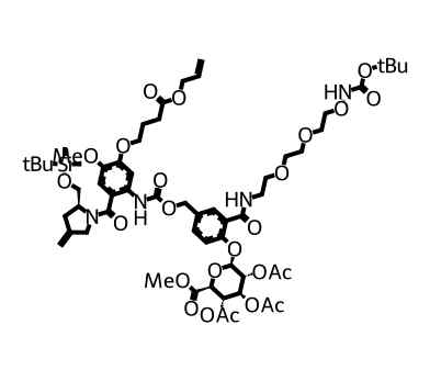 C=CCOC(=O)CCCOc1cc(NC(=O)OCc2ccc(O[C@@H]3O[C@H](C(=O)OC)[C@@H](OC(C)=O)[C@H](OC(C)=O)[C@H]3OC(C)=O)c(C(=O)NCCOCCOCCONC(=O)OC(C)(C)C)c2)c(C(=O)N2CC(=C)C[C@H]2CO[Si](C)(C)C(C)(C)C)cc1OC